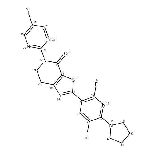 O=C1c2sc(-c3cc(I)c(N4CCCC4)nc3F)nc2CCN1c1ncc(I)cn1